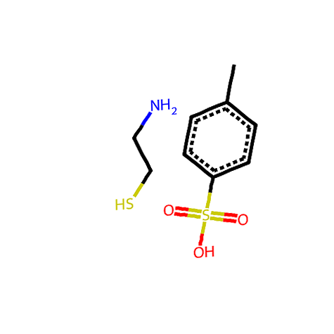 Cc1ccc(S(=O)(=O)O)cc1.NCCS